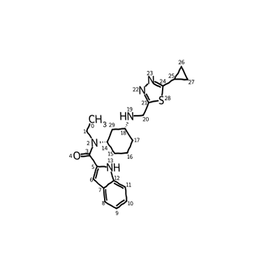 CCN(C(=O)c1cc2ccccc2[nH]1)[C@H]1CCC[C@@H](NCc2nnc(C3CC3)s2)C1